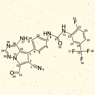 N#Cc1c(-c2ccc(NC(=O)Nc3cc(C(F)(F)F)ccc3F)cc2)c2c(N)ncnn2c1C=O